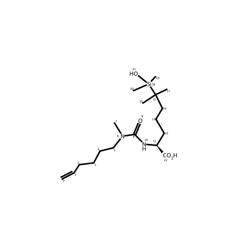 C=CCCCCN(C)C(=O)N[C@@H](CCCC(C)(C)[Si](C)(C)O)C(=O)O